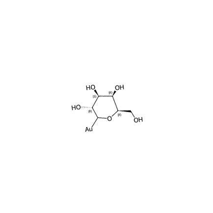 OC[C@H]1O[CH]([Au])[C@H](O)[C@@H](O)[C@H]1O